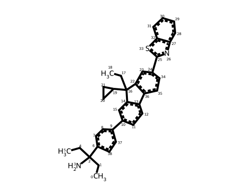 CCC(N)(CC)c1ccc(-c2ccc3c(c2)C(CC)(C2CC2)c2cc(-c4nc5ccccc5s4)ccc2-3)cc1